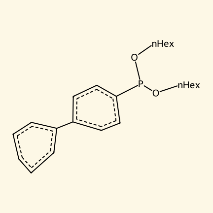 CCCCCCOP(OCCCCCC)c1ccc(-c2ccccc2)cc1